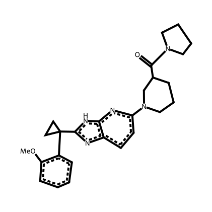 COc1ccccc1C1(c2nc3ccc(N4CCCC(C(=O)N5CCCC5)C4)nc3[nH]2)CC1